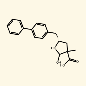 CC1(C(=O)O)C[C@@H](Cc2ccc(-c3ccccc3)cc2)NC1O